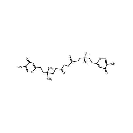 CC(C)(CCC(=O)CCC(=O)CCC(C)(C)CCc1cc(=O)c(O)co1)CCc1cc(=O)c(O)co1